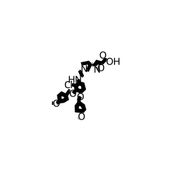 COc1ccc(COc2ccc(NCCN3CC[C@@H](c4cc(C(=O)O)on4)C3)c(Cl)c2OCc2ccc(OC)cc2)cc1